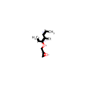 C=C/C(OCC1CO1)=C(\C=C/C)CC